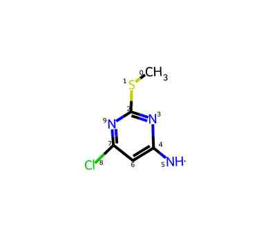 CSc1nc([NH])cc(Cl)n1